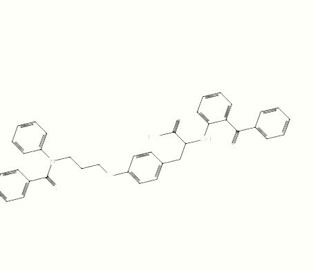 O=C(c1ccccc1)c1ccccc1NC(Cc1ccc(OCCCN(C(=O)c2ccncc2)c2ccccc2)cc1)C(=O)O